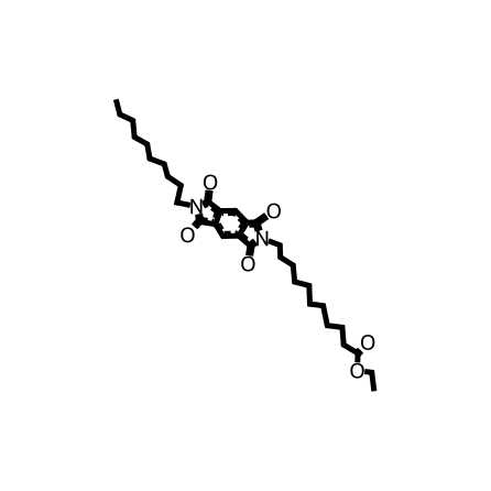 CCCCCCCCCCn1c(=O)c2cc3c(=O)n(CCCCCCCCCCC(=O)OCC)c(=O)c3cc2c1=O